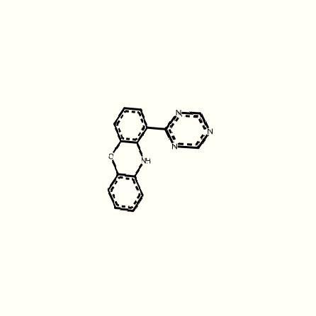 c1ccc2c(c1)Nc1c(cccc1-c1ncncn1)O2